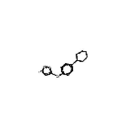 c1cc(C2CCCCC2)ccc1Oc1c[nH]nn1